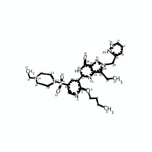 CCCCOc1ncc(S(=O)(=O)N2CCN(CC)CC2)cc1-c1nc2c(CC)n(Cc3cccnn3)nc2c(=O)[nH]1